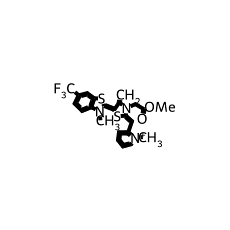 C=C1/C(=C2\Sc3cc(C(F)(F)F)ccc3N2C)S/C(=C\c2cccc[n+]2C)N1CC(=O)OC